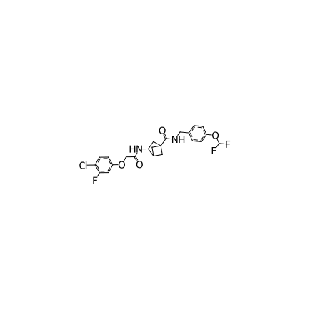 O=C(COc1ccc(Cl)c(F)c1)NC1CC2(C(=O)NCc3ccc(OC(F)F)cc3)CC1C2